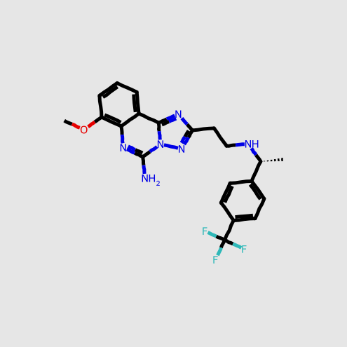 COc1cccc2c1nc(N)n1nc(CCN[C@H](C)c3ccc(C(F)(F)F)cc3)nc21